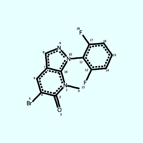 Cn1c(=O)c(Br)cc2cnn(-c3c(F)cccc3F)c21